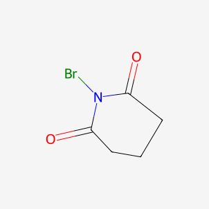 O=C1CCCC(=O)N1Br